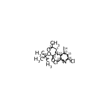 CC(=O)CN(C(=O)OC(C)(C)C)c1c(I)cc(Cl)nc1Cl